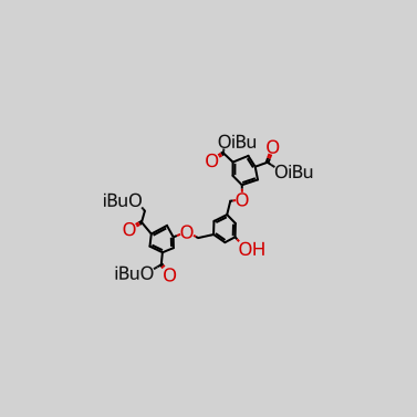 CC(C)COCC(=O)c1cc(OCc2cc(O)cc(COc3cc(C(=O)OCC(C)C)cc(C(=O)OCC(C)C)c3)c2)cc(C(=O)OCC(C)C)c1